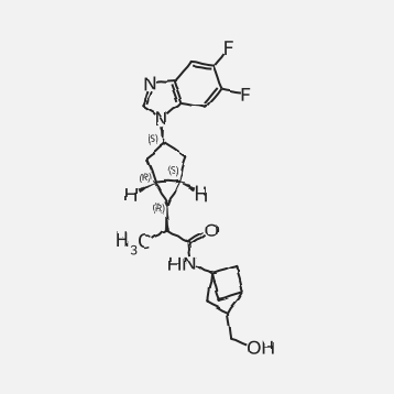 CC(C(=O)NC12CC(CO)C(C1)C2)[C@H]1[C@@H]2C[C@@H](n3cnc4cc(F)c(F)cc43)C[C@@H]21